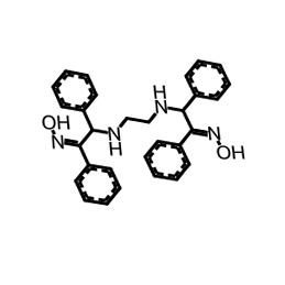 ON=C(c1ccccc1)C(NCCNC(C(=NO)c1ccccc1)c1ccccc1)c1ccccc1